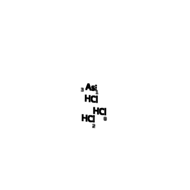 Cl.Cl.Cl.[As]